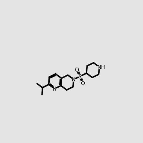 CC(C)c1ccc2c(n1)CCN(S(=O)(=O)C1CCNCC1)C2